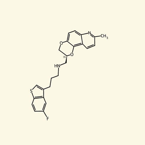 Cc1ccc2c3c(ccc2n1)OC[C@H](CNCCCc1csc2ccc(F)cc12)O3